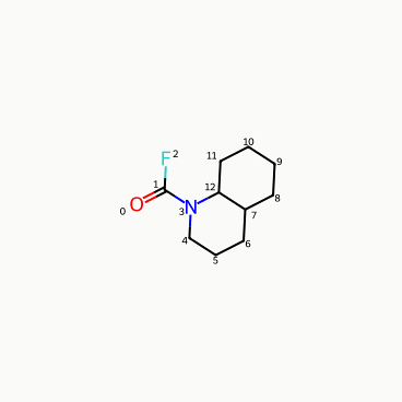 O=C(F)N1CCCC2CCCCC21